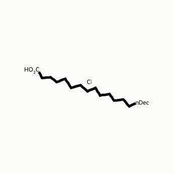 CCCCCCCCCCCCCCCCCCCCCCCC(=O)O.[C]